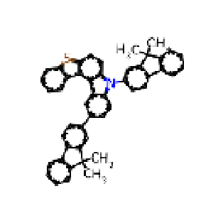 CC1(C)c2ccccc2-c2ccc(-c3ccc4c(c3)c3c5c(ccc3n4-c3ccc4c(c3)C(C)(C)c3ccccc3-4)sc3ccccc35)cc21